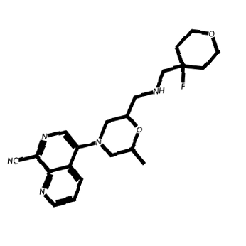 CC1CN(c2cnc(C#N)c3ncccc23)CC(CNCC2(F)CCOCC2)O1